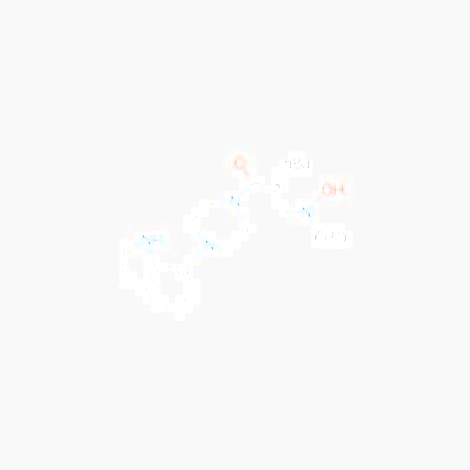 CCCC[C@H](CN(O)C=O)C(=O)N1CCN(c2cccc3cc[nH]c23)CC1